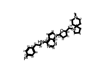 CN1CCC2(CCCN2CC2CCC(n3ccc4c(NCCc5ccc(F)cc5)ncnc43)O2)CC1